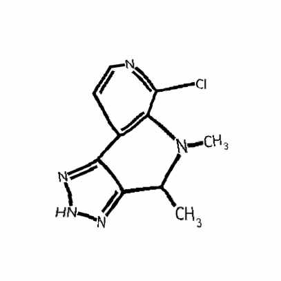 CC1c2n[nH]nc2-c2ccnc(Cl)c2N1C